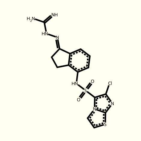 N=C(N)N/N=C1\CCc2c(NS(=O)(=O)c3c(Cl)nc4sccn34)cccc21